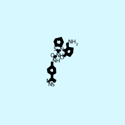 NCc1cccc(Cl)c1N1c2ccccc2SC1NC(=O)NCc1ccc(-c2csnn2)cc1